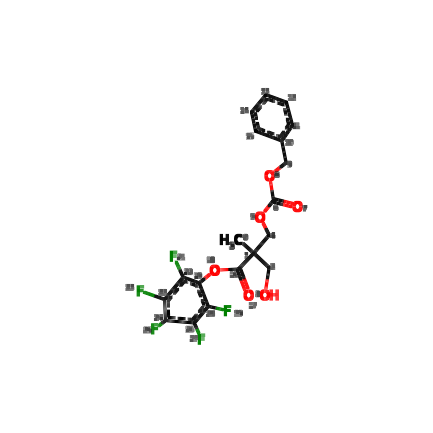 CC(CO)(COC(=O)OCc1ccccc1)C(=O)Oc1c(F)c(F)c(F)c(F)c1F